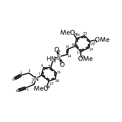 C#CCN(CC#C)c1cc(NS(=O)(=O)/C=C/c2c(OC)cc(OC)cc2OC)ccc1OC